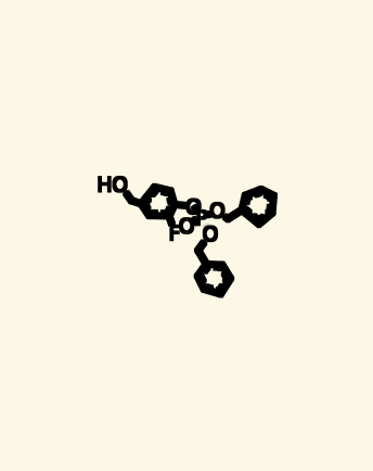 O=P(OCc1ccccc1)(OCc1ccccc1)Oc1ccc(CO)cc1F